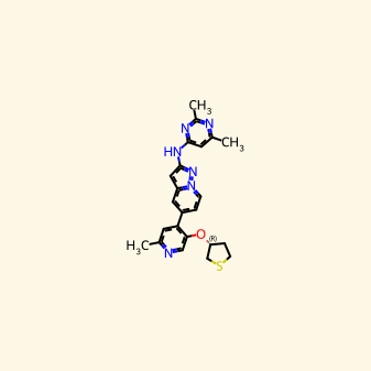 Cc1cc(-c2ccn3nc(Nc4cc(C)nc(C)n4)cc3c2)c(O[C@@H]2CCSC2)cn1